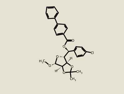 CO[C@@H]1O[C@H]([C@@H](OC(=O)c2ccc(-c3ccccc3)cc2)c2ccc(Cl)cc2)[C@H]2OC(C)(C)O[C@@H]12